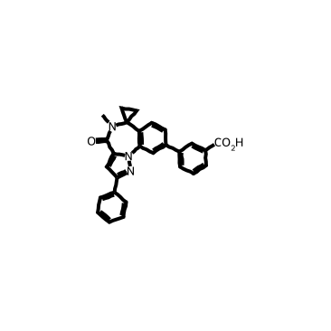 CN1C(=O)c2cc(-c3ccccc3)nn2-c2cc(-c3cccc(C(=O)O)c3)ccc2C12CC2